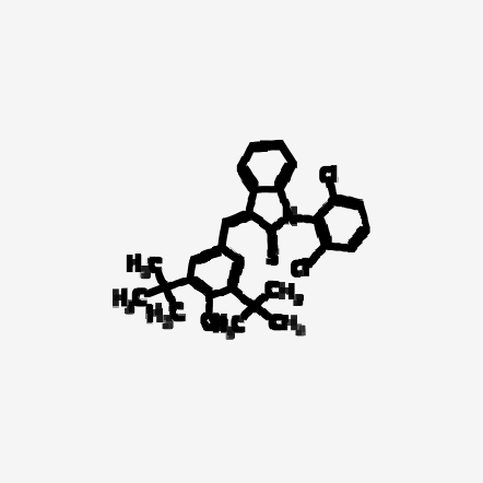 CC(C)(C)c1cc(C=C2C(=S)N(c3c(Cl)cccc3Cl)c3ccccc32)cc(C(C)(C)C)c1O